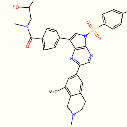 COc1cc(-c2cnc3c(n2)c(-c2ccc(C(=O)N(C)CC(C)O)cc2)cn3S(=O)(=O)c2ccc(C)cc2)cc2c1CN(C)CC2